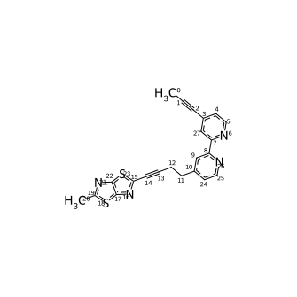 CC#Cc1ccnc(-c2cc(CCC#Cc3nc4sc(C)nc4s3)ccn2)c1